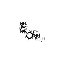 CC1(NC(=O)O)CCCN(c2nnc(N)s2)C1